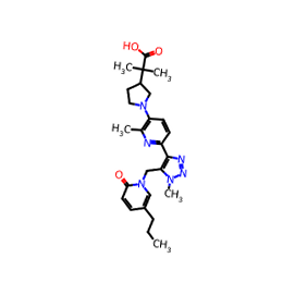 CCCc1ccc(=O)n(Cc2c(-c3ccc(N4CCC(C(C)(C)C(=O)O)C4)c(C)n3)nnn2C)c1